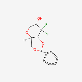 O[C@H]1CO[C@@H]2CO[C@@H](c3ccccc3)OC2C1(F)F